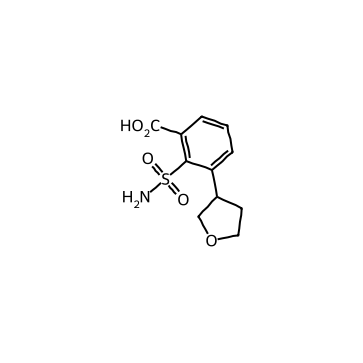 NS(=O)(=O)c1c(C(=O)O)cccc1C1CCOC1